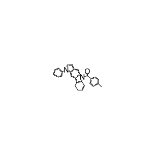 Cc1ccc(C(=O)n2c3c(c4cc5c(ccn5-c5ccccc5)cc42)CCC=C3)cc1